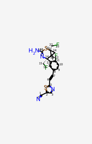 N#Cc1cnc(C#Cc2ccc(F)c([C@@]3(CF)N=C(N)S[C@@]4(CF)C[C@H]43)c2)s1